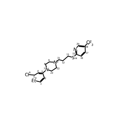 CC/C=C\C(=C/CCl)N1CCN(CCCSc2ccc(C(F)(F)F)cn2)CC1